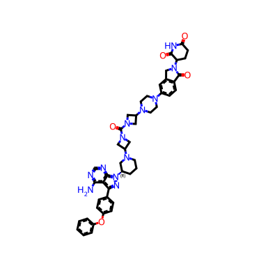 Nc1ncnc2c1c(-c1ccc(Oc3ccccc3)cc1)nn2[C@@H]1CCCN(C2CN(C(=O)N3CC(N4CCN(c5ccc6c(c5)CN(C5CCC(=O)NC5=O)C6=O)CC4)C3)C2)C1